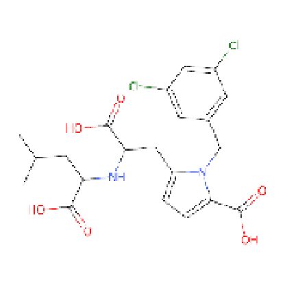 CC(C)CC(NC(Cc1ccc(C(=O)O)n1Cc1cc(Cl)cc(Cl)c1)C(=O)O)C(=O)O